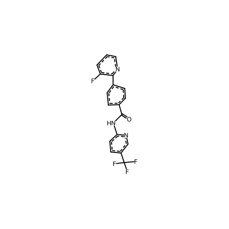 O=C(Nc1ccc(C(F)(F)F)cn1)c1ccc(-c2ncccc2F)cc1